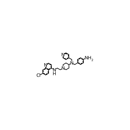 Nc1ccc(CN(Cc2ccncc2)C2CCN(CCNc3ccnc4cc(Cl)ccc34)CC2)cc1